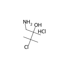 CC(C)(Cl)C(C)(O)CN.Cl